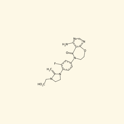 C=C1N(CC(=O)O)CCN1c1ccc(N2CCOc3ncnc(N)c3C2=O)cc1F